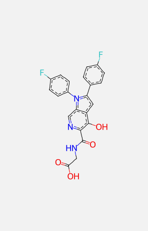 O=C(O)CNC(=O)c1ncc2c(cc(-c3ccc(F)cc3)n2-c2ccc(F)cc2)c1O